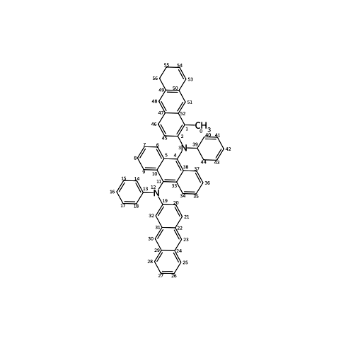 Cc1c(N(c2c3ccccc3c(N(c3ccccc3)c3ccc4cc5ccccc5cc4c3)c3ccccc23)C2C=CC=CC2)ccc2cc3c(cc12)C=CCC3